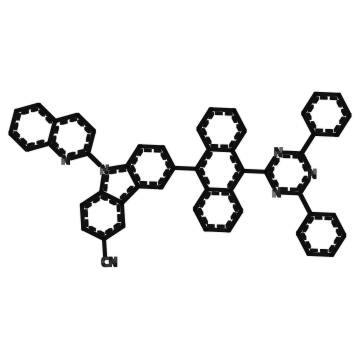 N#Cc1ccc2c(c1)c1cc(-c3c4ccccc4c(-c4nc(-c5ccccc5)nc(-c5ccccc5)n4)c4ccccc34)ccc1n2-c1ccc2ccccc2n1